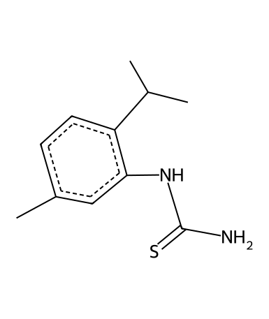 Cc1ccc(C(C)C)c(NC(N)=S)c1